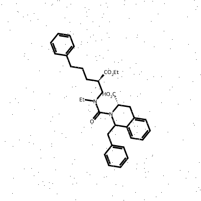 CCOC(=O)[C@H](CCCc1ccccc1)CN(CC)C(=O)N1C(Cc2ccccc2)c2ccccc2C[C@H]1C(=O)O